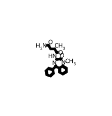 C[C@H](CC(N)=O)C(=O)NC1N=C(c2ccccc2)c2ccccc2N(C)C1=O